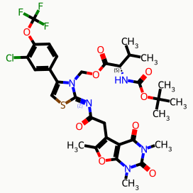 Cc1oc2c(c1CC(=O)/N=c1\scc(-c3ccc(OC(F)(F)F)c(Cl)c3)n1COC(=O)[C@@H](NC(=O)OC(C)(C)C)C(C)C)c(=O)n(C)c(=O)n2C